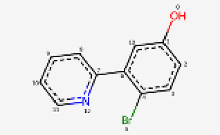 Oc1ccc(Br)c(-c2ccccn2)c1